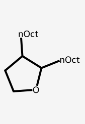 CCCCCCCCC1CCOC1CCCCCCCC